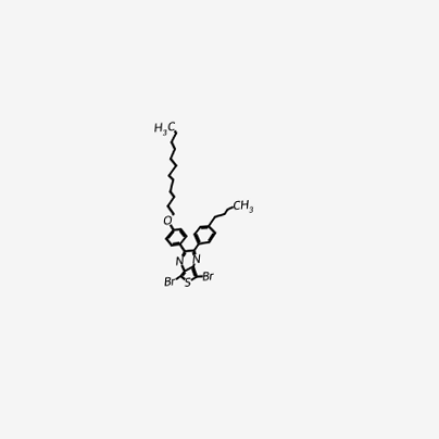 CCCCCCCCCCCCOc1ccc(-c2nc3c(Br)sc(Br)c3nc2-c2ccc(CCCC)cc2)cc1